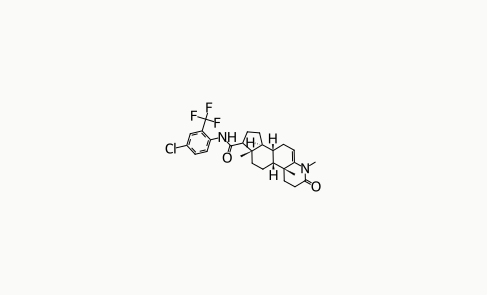 CN1C(=O)CC[C@@]2(C)C1=CC[C@@H]1[C@H]2CC[C@]2(C)C(C(=O)Nc3ccc(Cl)cc3C(F)(F)F)CC[C@@H]12